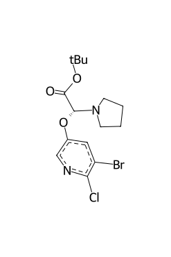 CC(C)(C)OC(=O)[C@@H](Oc1cnc(Cl)c(Br)c1)N1CCCC1